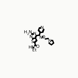 CCNC(=O)c1cc2c(C(=NOCCN3CCCC3)c3ccncc3)nc(N)nc2s1